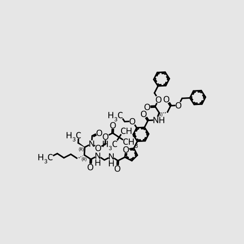 CCCCC[C@@H](C(=O)NCNC(=O)c1ccc(-c2ccc(C(=O)N[C@@H](CC(=O)OCc3ccccc3)C(=O)OCc3ccccc3)c(OCC)c2)o1)[C@@H](CC)N(C=O)OCOC(=O)C(C)(C)C